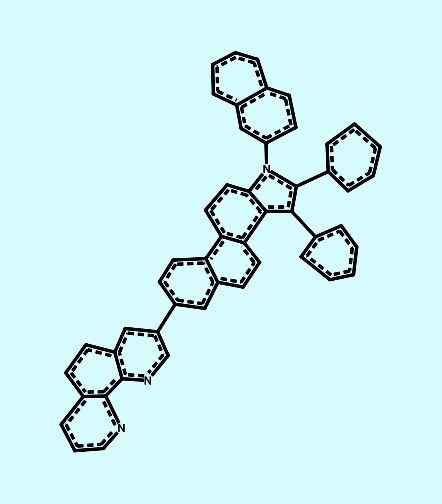 c1ccc(-c2c(-c3ccccc3)n(-c3ccc4ccccc4c3)c3ccc4c5ccc(-c6cnc7c(ccc8cccnc87)c6)cc5ccc4c23)cc1